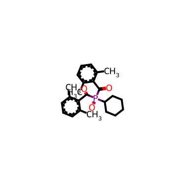 Cc1cccc(C)c1C(=O)P(=O)(C(=O)c1c(C)cccc1C)C1CCCCC1